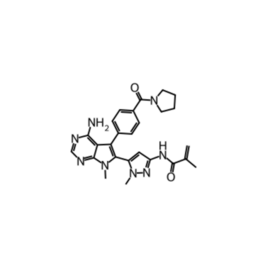 C=C(C)C(=O)Nc1cc(-c2c(-c3ccc(C(=O)N4CCCC4)cc3)c3c(N)ncnc3n2C)n(C)n1